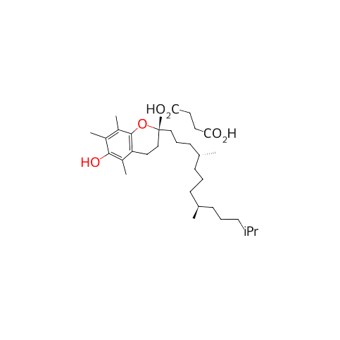 Cc1c(C)c2c(c(C)c1O)CC[C@@](C)(CCC[C@H](C)CCC[C@H](C)CCCC(C)C)O2.O=C(O)CCC(=O)O